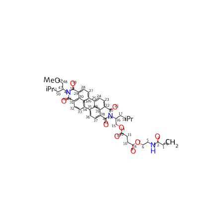 C=CC(=O)NCCOC(=O)CCC(=O)OCC(CC(C)C)N1C(=O)c2ccc3c4ccc5c6c(ccc(c7ccc(c2c37)C1=O)c64)C(=O)N(C(COC)CC(C)C)C5=O